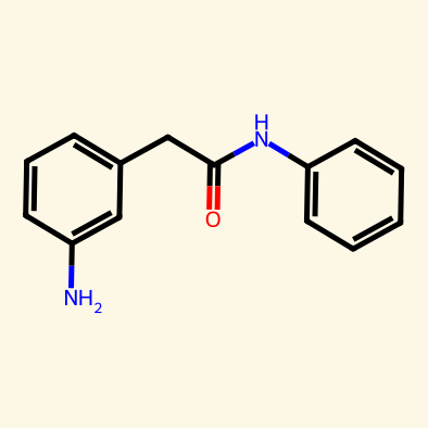 Nc1cccc(CC(=O)Nc2ccccc2)c1